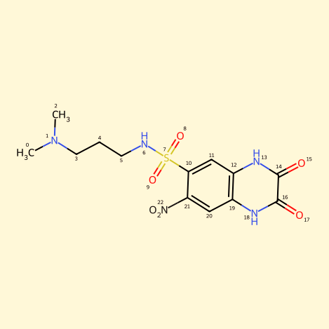 CN(C)CCCNS(=O)(=O)c1cc2[nH]c(=O)c(=O)[nH]c2cc1[N+](=O)[O-]